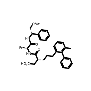 COC[C@@H](NC(=O)[C@@H](NC(=O)[C@H](CCCc1cccc(C)c1-c1ccccc1)CC(=O)O)C(C)C)c1ccccc1